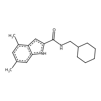 Cc1cc(C)c2cc(C(=O)NCC3CCCCC3)[nH]c2c1